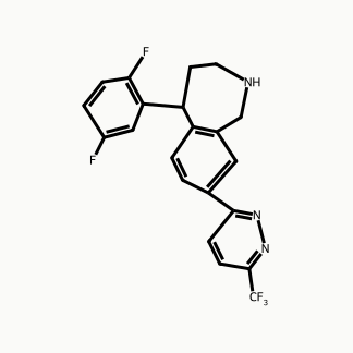 Fc1ccc(F)c(C2CCNCc3cc(-c4ccc(C(F)(F)F)nn4)ccc32)c1